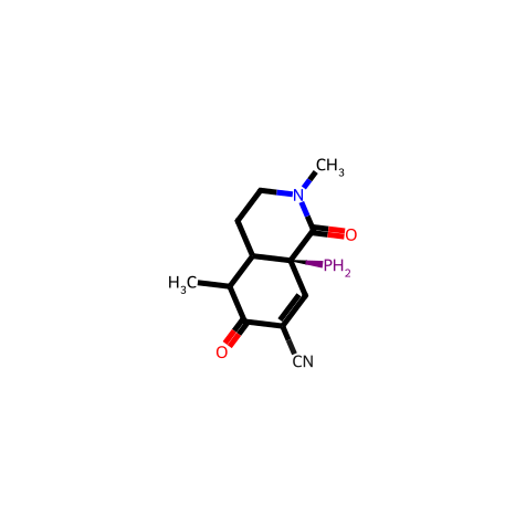 CC1C(=O)C(C#N)=C[C@@]2(P)C(=O)N(C)CCC12